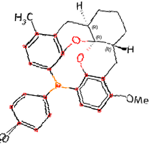 COc1ccc(P(c2ccc(C)cc2)c2cccc3c2O[C@]24Oc5c(cccc5P(c5ccc(OC)cc5)c5ccc(OC)cc5)C[C@H]2CCC[C@@H]4C3)cc1